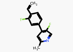 C=Cc1ccc(-c2cc(C)ncc2F)cc1F